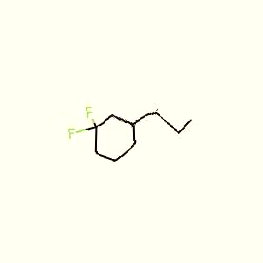 CC[CH]C1CCCC(F)(F)C1